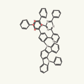 c1ccc(-c2nc(-c3ccccc3)nc(-c3ccc(-n4c5ccccc5c5c4ccc4c6ccccc6n(-c6ccccc6)c45)c(-c4ncccc4-c4nc(-c5ccccc5)nc(-c5ccccc5)n4)c3)n2)cc1